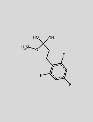 OC(O)(CCc1c(F)cc(F)cc1F)O[SiH3]